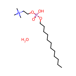 CCCCCCCCCCCCOP(=O)(O)OCC[N+](C)(C)C.O